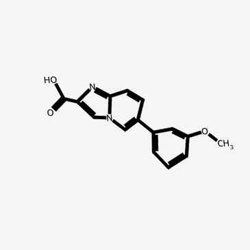 COc1cccc(-c2ccc3nc(C(=O)O)cn3c2)c1